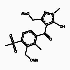 COCc1nn(C)c(O)c1C(=O)c1ccc(S(C)(=O)=O)c(COC)c1C